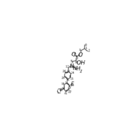 CC(C)COC(=O)[C@H](O)CN(N)Cc1ccc(-c2cc(Cl)ccc2F)cc1